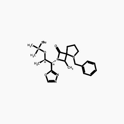 CC1N([C@H](c2nnco2)[C@@H](C)O[Si](C)(C)C(C)(C)C)C(=O)C12CCCN2Cc1ccccc1